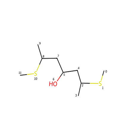 CSC(C)CC(O)CC(C)SC